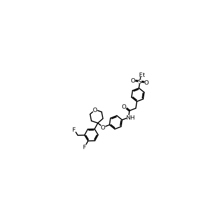 CCS(=O)(=O)c1ccc(CC(=O)Nc2ccc(OC3(c4ccc(F)c(CF)c4)CCOCC3)cc2)cc1